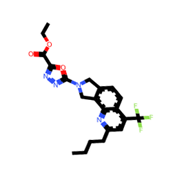 CCCCc1cc(C(F)(F)F)c2ccc3c(c2n1)CN(c1nnc(C(=O)OCC)o1)C3